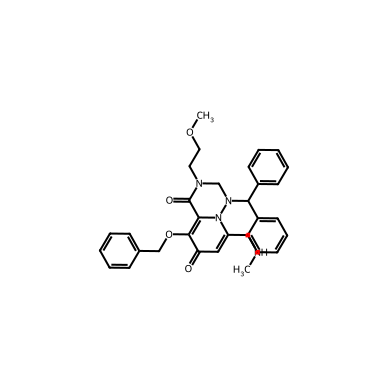 CNCc1cc(=O)c(OCc2ccccc2)c2n1N(C(c1ccccc1)c1ccccc1)CN(CCOC)C2=O